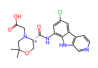 CC1(C)CN(CC(=O)O)[C@H](C(=O)Nc2cc(Cl)cc3c2[nH]c2cnccc23)CO1